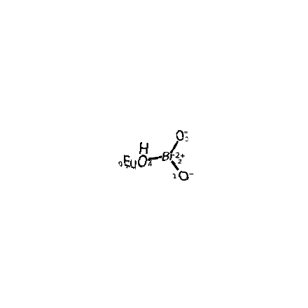 [Eu].[O-][Br+2]([O-])O